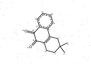 CC1(C)CCC2=C(C1)c1ccccc1C(=O)C2=O